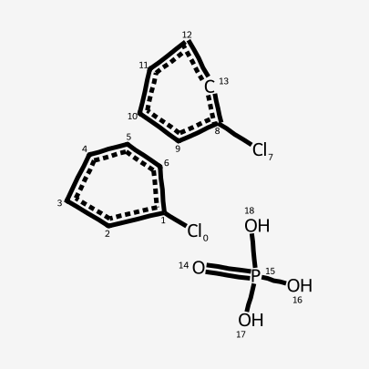 Clc1ccccc1.Clc1ccccc1.O=P(O)(O)O